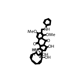 COc1cc2c(c(OC)c1CNc1ccccc1)C(=O)c1c(O)cc3c(c1C2=O)N[C@H]1C#C/C=C\C#C[C@H](O)[C@@]32C[C@@]12[C@@H](C)O